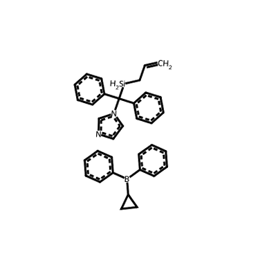 C=CC[SiH2]C(c1ccccc1)(c1ccccc1)n1ccnc1.c1ccc(B(c2ccccc2)C2CC2)cc1